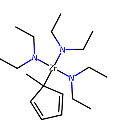 CC[N](CC)[Zr]([N](CC)CC)([N](CC)CC)[C]1(C)C=CC=C1